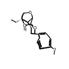 CC[C@@]12COC(C(OC)O1)[C@H]2OCc1ccc(OC)cc1